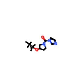 CC(C)(C)[Si](C)(C)OC1CCN(C(=O)n2ccnc2)C1